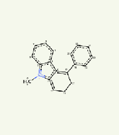 Cn1c2c(c3ccccc31)=C(c1ccccc1)CCC=2